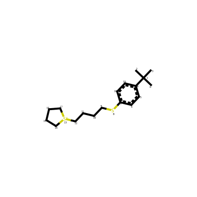 CC(C)(C)c1ccc(SCCCC[S+]2CCCC2)cc1